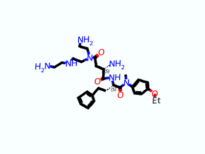 CCOc1ccc(N(C)C(=O)[C@H](CCc2ccccc2)NC(=O)[C@@H](N)CC(=O)N(CCN)CCNCCN)cc1